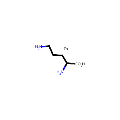 NCCCC(N)C(=O)O.[Zn]